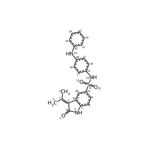 CC(C)=C1C(=O)Nc2ccc(S(=O)(=O)Nc3ccc(Nc4ccccc4)cc3)cc21